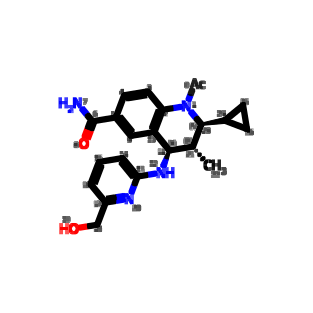 CC(=O)N1c2ccc(C(N)=O)cc2[C@H](Nc2cccc(CO)n2)[C@@H](C)[C@@H]1C1CC1